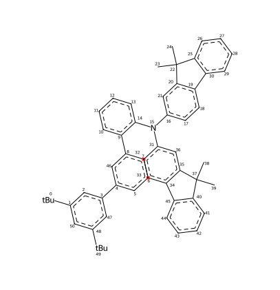 CC(C)(C)c1cc(-c2cccc(-c3ccccc3N(c3ccc4c(c3)C(C)(C)c3ccccc3-4)c3ccc4c(c3)C(C)(C)c3ccccc3-4)c2)cc(C(C)(C)C)c1